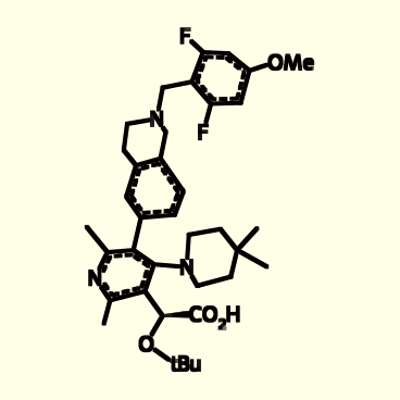 COc1cc(F)c(CN2CCc3cc(-c4c(C)nc(C)c([C@H](OC(C)(C)C)C(=O)O)c4N4CCC(C)(C)CC4)ccc3C2)c(F)c1